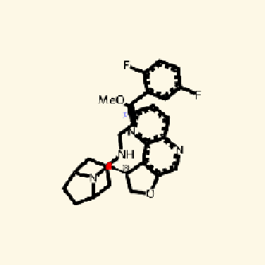 COc1ccc2ncc3c(c2n1)[C@H](CN1C2CCC1CC(NC/C=C/c1cc(F)ccc1F)C2)CO3